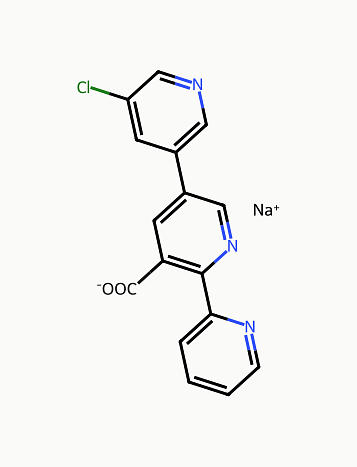 O=C([O-])c1cc(-c2cncc(Cl)c2)cnc1-c1ccccn1.[Na+]